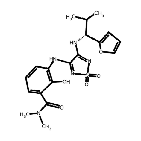 CC(C)[C@@H](NC1=NS(=O)(=O)N=C1Nc1cccc(C(=O)N(C)C)c1O)c1ccco1